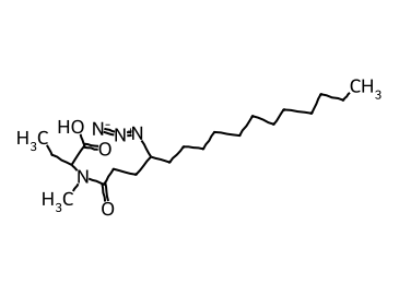 CCCCCCCCCCCCC(CCC(=O)N(C)C(CC)C(=O)O)N=[N+]=[N-]